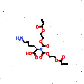 C=CC(=O)OCCOC(=O)N(C(=O)OCCOC(=O)C=C)[C@@H](CCCCN)C(=O)O